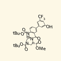 COC(=O)[C@@H]1CN(C(=O)OC(C)(C)C)CCN1C(=O)c1cc(-c2cc(O)cc(C(F)(F)F)c2)ccc1NC(=O)OC(C)(C)C